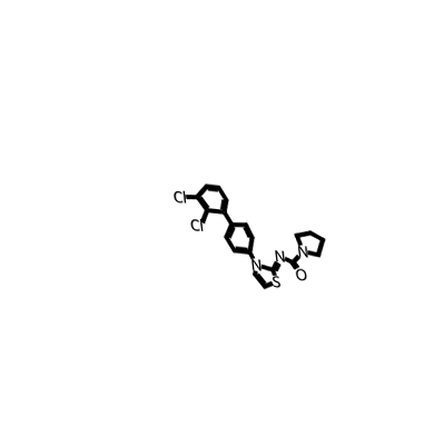 O=C(/N=c1\sccn1-c1ccc(-c2cccc(Cl)c2Cl)cc1)N1CCCC1